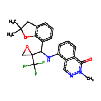 Cn1ncc2c(NC(c3cccc4c3OC(C)(C)C4)C3(C(F)(F)F)CO3)cccc2c1=O